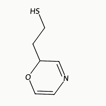 SCCC1C=NC=CO1